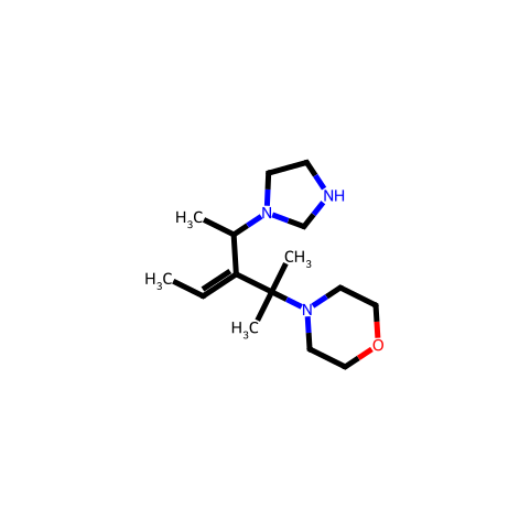 CC=C(C(C)N1CCNC1)C(C)(C)N1CCOCC1